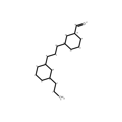 CCCC1CCCC(CCCC2CCCC(C=O)C2)C1